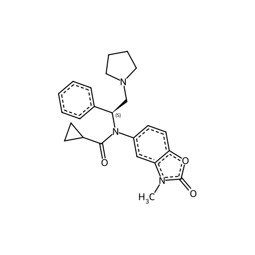 Cn1c(=O)oc2ccc(N(C(=O)C3CC3)[C@H](CN3CCCC3)c3ccccc3)cc21